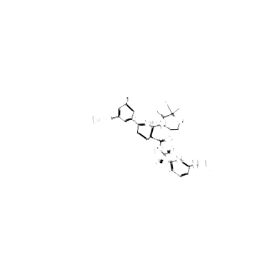 CC(C)COc1cc(F)cc(-c2ccc(C(=O)NS(=O)(=O)c3cccc(N)n3)c(N3CCOC(C)(C)C3C)n2)c1